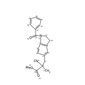 [C-]#[N+]C(C)(Cc1ccc2c(c1)CCN2C(=O)c1ccccc1)C(=O)OC